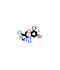 FC(F)(F)c1cc(Br)cc2c1OCc1c(Cl)ncnc1N2